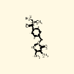 Cc1ncn(Cc2ccc(C(=O)N(C)C)cc2)c(=O)c1C